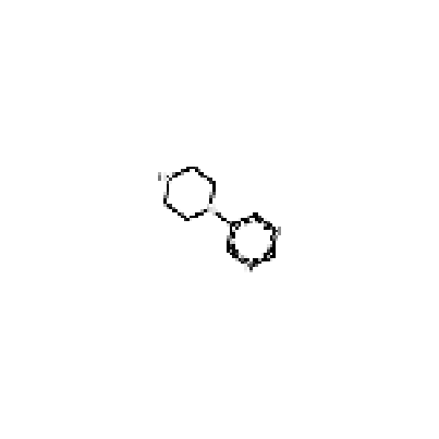 c1ncc(N2CCNCC2)cn1